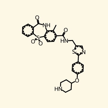 Cc1c(C(=O)NCc2cnc(-c3ccc(OC4CCNCC4)cc3)s2)ccc2c1NC(=O)c1ccccc1S2(=O)=O